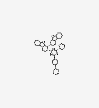 c1ccc(-c2ccc(-c3nc(-c4ccccc4)nc(-c4ccc5c(oc6ccccc65)c4-c4ccc5c(c4)oc4ccccc45)n3)cc2)cc1